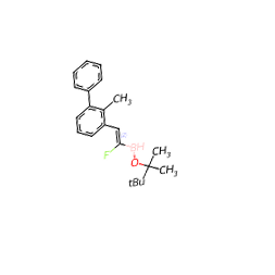 Cc1c(/C=C(\F)BOC(C)(C)C(C)(C)C)cccc1-c1ccccc1